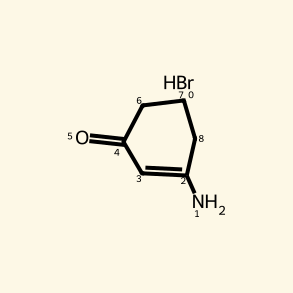 Br.NC1=CC(=O)CCC1